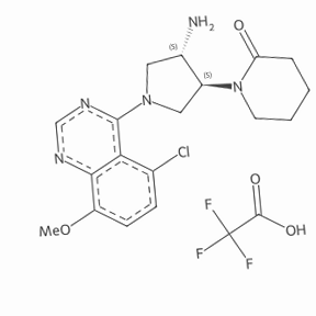 COc1ccc(Cl)c2c(N3C[C@H](N)[C@@H](N4CCCCC4=O)C3)ncnc12.O=C(O)C(F)(F)F